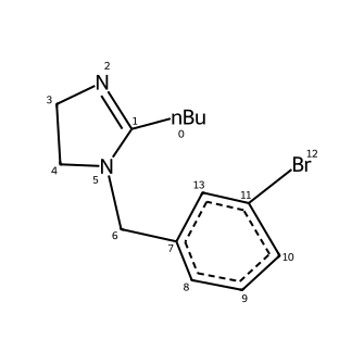 CCCCC1=NCCN1Cc1cccc(Br)c1